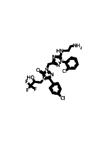 NCCNc1nc(Cn2nc(-c3ccc(Cl)cc3)n(CC(O)C(F)(F)F)c2=O)nn1-c1ccccc1Cl